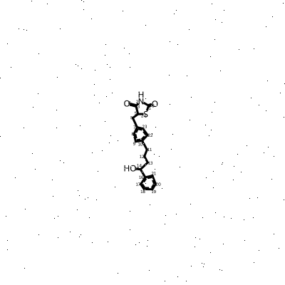 O=C1NC(=O)C(Cc2ccc(CCCC(O)c3ccccc3)cc2)S1